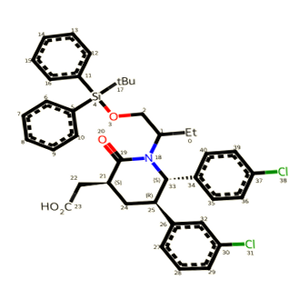 CCC(CO[Si](c1ccccc1)(c1ccccc1)C(C)(C)C)N1C(=O)[C@H](CC(=O)O)C[C@H](c2cccc(Cl)c2)[C@H]1c1ccc(Cl)cc1